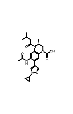 CC(=O)Nc1cc2c(cc1-c1cnn(C3CC3)c1)N(C(=O)O)C[C@H](C)N2C(=O)CC(C)C